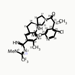 CN/C(=N\C(=N)c1cc2c(nc1C)N[C@]1(CC2)CCN(C(=O)[C@H](C)c2cc(OC)ncc2Cl)C1)C(F)(F)F